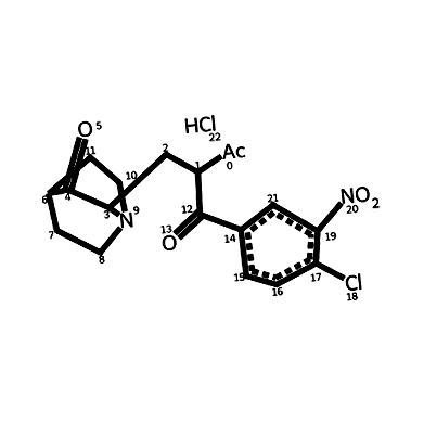 CC(=O)C(CC1C(=O)C2CCN1CC2)C(=O)c1ccc(Cl)c([N+](=O)[O-])c1.Cl